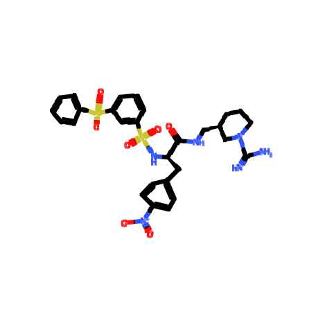 N=C(N)N1CCC[C@H](CNC(=O)[C@@H](Cc2ccc([N+](=O)[O-])cc2)NS(=O)(=O)c2cccc(S(=O)(=O)c3ccccc3)c2)C1